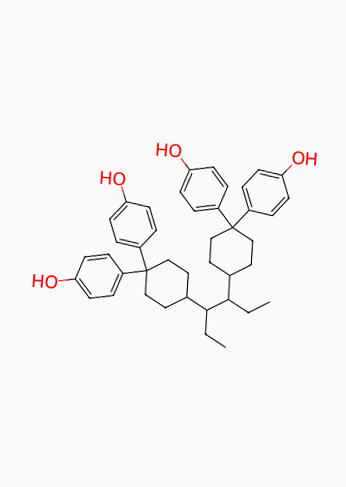 CCC(C1CCC(c2ccc(O)cc2)(c2ccc(O)cc2)CC1)C(CC)C1CCC(c2ccc(O)cc2)(c2ccc(O)cc2)CC1